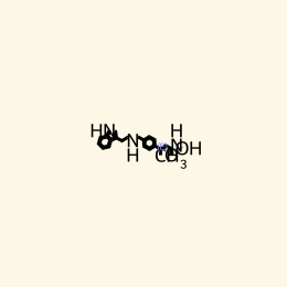 C/C(=C\C(=O)NO)c1ccc(CNCCc2c[nH]c3ccccc23)cc1